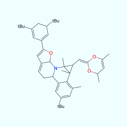 CC1=CC(C)O/C(=C\C2C3(C)c4c(C)cc(C(C)(C)C)cc4C4CC=C5C=C(C6=CC(C(C)(C)C)CC(C(C)(C)C)=C6)OC5N4C23C)O1